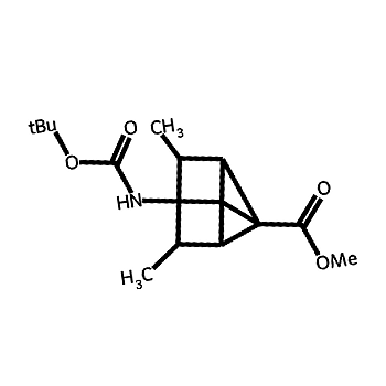 COC(=O)C12C3C(C)C4(NC(=O)OC(C)(C)C)C(C)C1C342